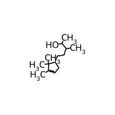 CC1=CC[C@H](CCC(C)C(C)O)C1(C)C